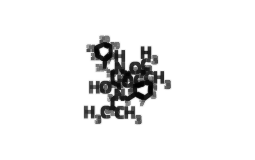 CC(C)CN(Cc1ccccc1)C[C@@H](O)[C@H](Cc1ccccc1)NC(=O)OC(C)(C)C